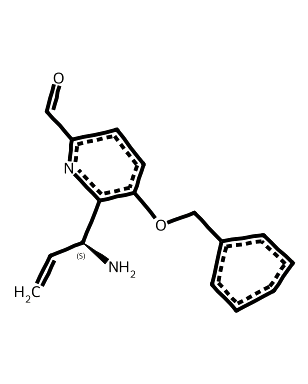 C=C[C@H](N)c1nc(C=O)ccc1OCc1ccccc1